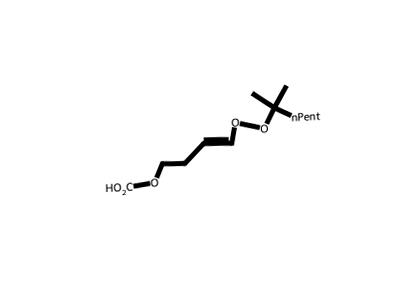 CCCCCC(C)(C)OOC=CCCOC(=O)O